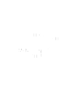 C=CCC(C)/C=C\CNCC(C)NC